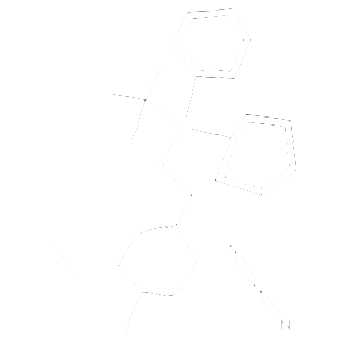 CS[C@@H]1OC(CO[Si](c2ccccc2)(c2ccccc2)C(C)(C)C)[C@H](N=[N+]=[N-])[C@H](C)C1C